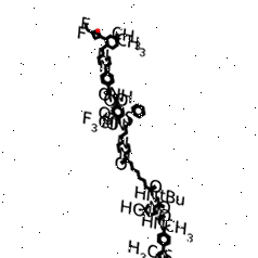 Cc1ncsc1-c1ccc([C@H](C)NC(=O)[C@@H]2C[C@@H](O)CN2C(=O)C(NC(=O)CCCCCCC(=O)N2CCN(CCC(CSc3ccccc3)Nc3ccc(S(=O)(=O)NC(=O)c4ccc(N5CCN(CC6=C(C78CC(C(F)F)(C7)C8)CC(C)(C)CC6)CC5)cc4)cc3S(=O)(=O)C(F)(F)F)CC2)C(C)(C)C)cc1